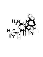 CC(C)[C@H](C)NC1=NC(N)=NC(c2cccc(C(F)(F)F)n2)([C@@H](C)C(C)C)N1